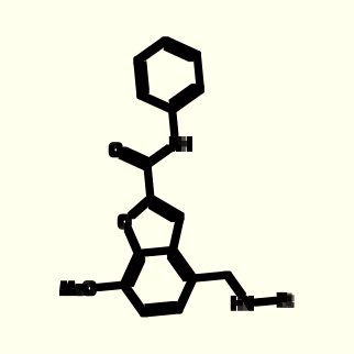 CCNCc1ccc(OC)c2oc(C(=O)Nc3ccccc3)cc12